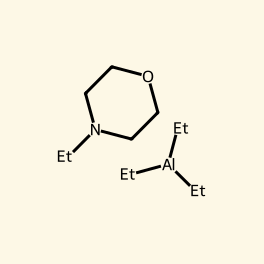 CCN1CCOCC1.C[CH2][Al]([CH2]C)[CH2]C